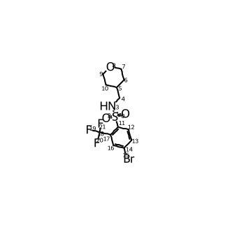 O=S(=O)(NCC1CCOCC1)c1ccc(Br)cc1C(F)(F)F